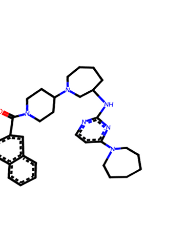 O=C(c1ccc2ccccc2c1)N1CCC(N2CCCCC(Nc3nccc(N4CCCCCC4)n3)C2)CC1